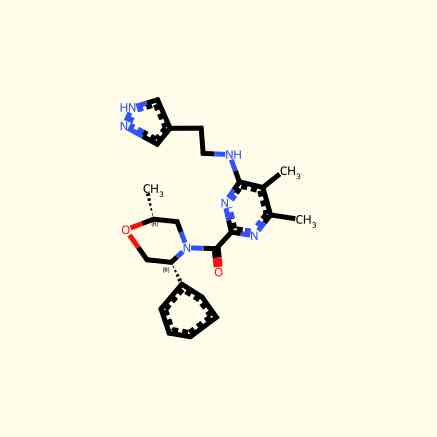 Cc1nc(C(=O)N2C[C@@H](C)OC[C@H]2c2ccccc2)nc(NCCc2cn[nH]c2)c1C